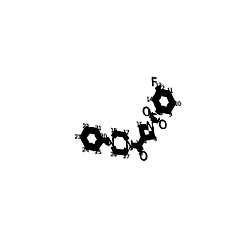 O=C(C1CN(S(=O)(=O)c2cccc(F)c2)C1)N1CCN(c2ccccc2)CC1